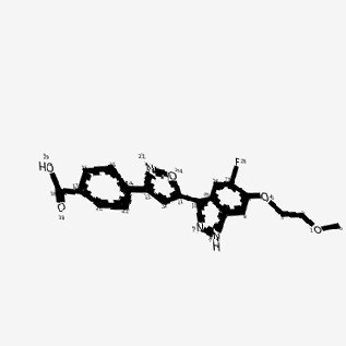 COCCOc1cc2[nH]nc(-c3cc(-c4ccc(C(=O)O)cc4)no3)c2cc1F